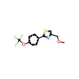 CO[CH]c1csc(-c2ccc(OC(F)(F)F)cc2)n1